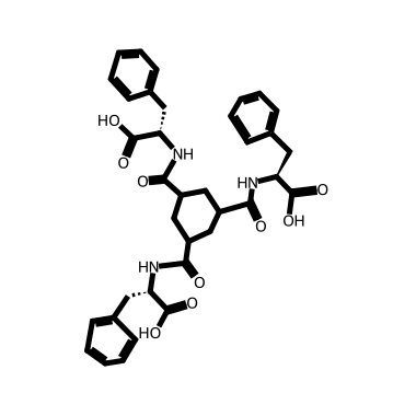 O=C(N[C@@H](Cc1ccccc1)C(=O)O)C1CC(C(=O)N[C@@H](Cc2ccccc2)C(=O)O)CC(C(=O)N[C@@H](Cc2ccccc2)C(=O)O)C1